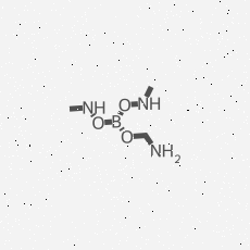 CNOB(OCN)ONC